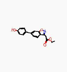 CCOC(=O)c1noc2cc(-c3ccc(O)cc3)ccc12